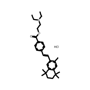 CCN(CC)CCOC(=O)c1ccc(C=Cc2cc3c(cc2C)C(C)(C)CCC3(C)C)cc1.Cl